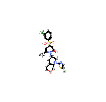 Cc1cc(S(=O)(=O)c2cccc(Cl)c2)cc(=O)n1[C@H](CC1CCOCC1)C(=O)Nc1ncc(F)s1